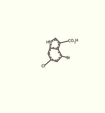 O=C(O)c1c[nH]c2cc(Cl)cc(Br)c12